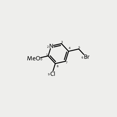 COc1ncc(CBr)cc1Cl